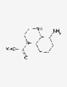 COC(=O)N1CCNC2C(N)CCCC21